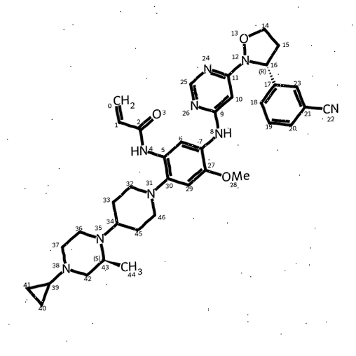 C=CC(=O)Nc1cc(Nc2cc(N3OCC[C@@H]3c3cccc(C#N)c3)ncn2)c(OC)cc1N1CCC(N2CCN(C3CC3)C[C@@H]2C)CC1